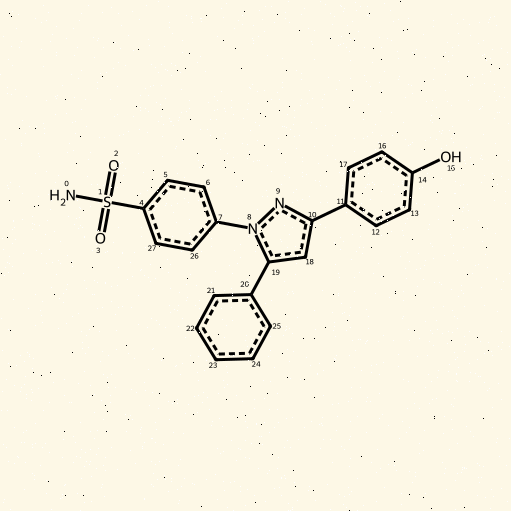 NS(=O)(=O)c1ccc(-n2nc(-c3ccc(O)cc3)cc2-c2ccccc2)cc1